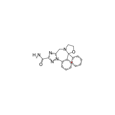 NC(=O)c1nc2n(n1)-c1ccccc1C1(c3ccccc3)OCCN1C2